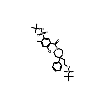 CC(C)(C)NS(=O)(=O)c1cc(C(=O)N2CCC(CCO[Si](C)(C)C(C)(C)C)(c3ccccc3)OC2)c(Cl)cc1F